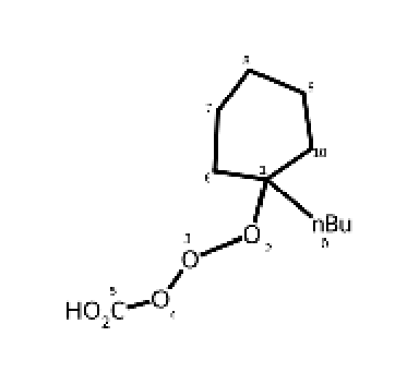 CCCCC1(OOOC(=O)O)CCCCC1